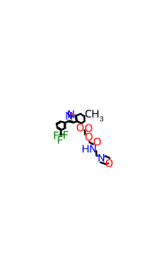 CC1Cc2nnc(-c3cccc(C(F)(F)F)c3)cc2C(OC(=O)COCC(=O)NCCN2CCOCC2)C1